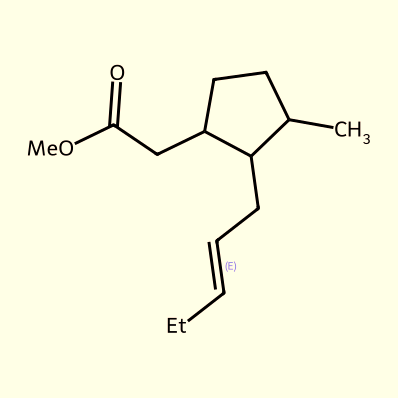 CC/C=C/CC1C(C)CCC1CC(=O)OC